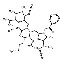 CCCC[C@@H]1OC(N=[N+]=[N-])[C@@H](O[C@H]2OC(C(C)C)[C@@H](C)[C@H](C)C2N=[N+]=[N-])[C@H](O[C@@H]2O[C@H]([C@H](C)N=[N+]=[N-])C(C)C2OC(=O)c2ccccc2)C1OC(C)=O